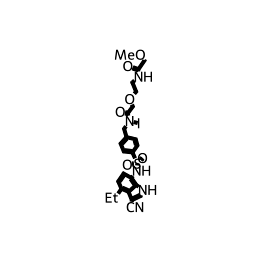 CCc1ccc(NS(=O)(=O)c2ccc(CN(I)C(=O)COCCNC(=O)COC)cc2)c2[nH]cc(C#N)c12